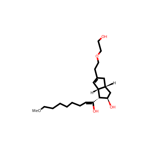 COCCCCCCC=C(O)[C@@H]1[C@@H]2C=C(CCOCCO)C[C@@H]2C[C@H]1O